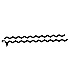 CCCCCCCCCCCCCCCCCCCCCC.CCCCCCCCCCCCCCCCCCCCCC(=O)O